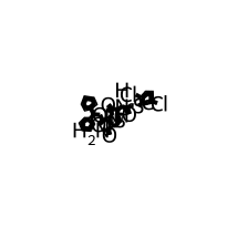 NC(=O)C1=C(C(=O)OC(c2ccccc2)c2ccccc2)N2C(=O)C(NC(=O)CSc3cc(Cl)ccc3Cl)[C@H]2SC1